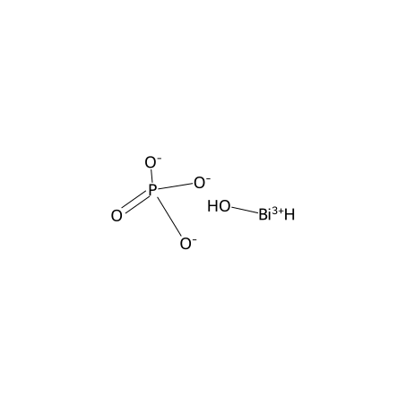 O=P([O-])([O-])[O-].[OH][BiH+3]